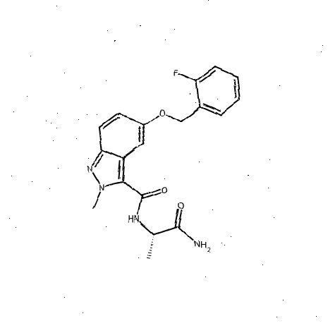 C[C@H](NC(=O)c1c2cc(OCc3ccccc3F)ccc2nn1C)C(N)=O